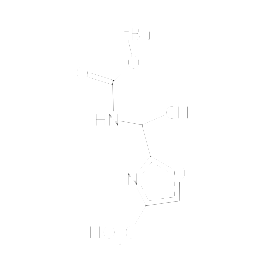 CC(NC(=O)OC(C)(C)C)c1nc(C(=O)O)co1